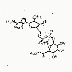 CC(=O)OC[C@H](F)C1O[C@@H](OP(=O)(O)OP(O)(=S)OC[C@H]2O[C@@H](n3cnc4c(N)ncnc43)[C@@H](O)C2O)C(O)[C@@H](O)[C@@H]1O